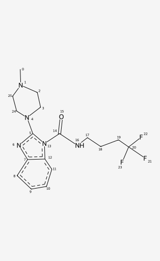 CN1CCN(c2nc3ccccc3n2C(=O)NCCCC(F)(F)F)CC1